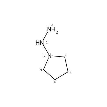 NNN1CCCC1